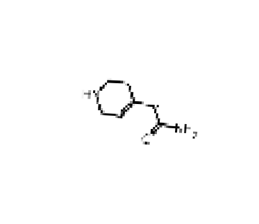 NC(=O)[CH]C1=CCNCC1